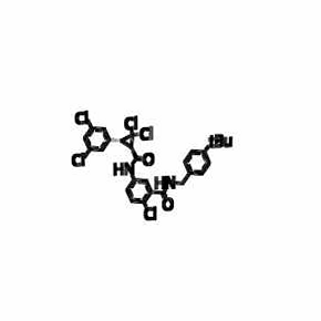 CC(C)(C)c1ccc(CNC(=O)c2cc(NC(=O)[C@H]3[C@H](c4cc(Cl)cc(Cl)c4)C3(Cl)Cl)ccc2Cl)cc1